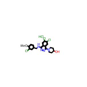 COc1ccc(CNc2nnc(N3CCC(O)CC3)c3cc(Cl)c(Cl)cc23)cc1Cl.Cl